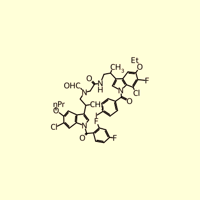 CCCOc1cc2c(C(C)CN(C=O)CC(=O)NCC(C)c3cn(C(=O)c4ccc(I)cc4)c4c(Cl)c(F)c(OCC)cc34)cn(C(=O)c3ccc(F)cc3F)c2cc1Cl